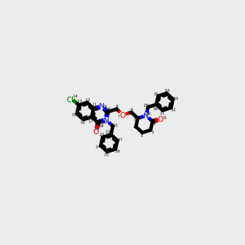 O=C1CCCC(COCc2nc3cc(Cl)ccc3c(=O)n2Cc2ccccc2)N1Cc1ccccc1